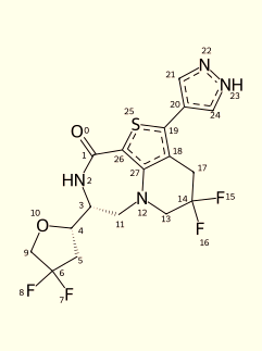 O=C1N[C@@H]([C@@H]2CC(F)(F)CO2)CN2CC(F)(F)Cc3c(-c4cn[nH]c4)sc1c32